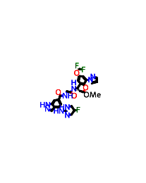 COC(=O)C[C@H](NC(=O)CNC(=O)c1cc(NC2=NCC(F)CN2)c2cn[nH]c2c1)c1cc(OC(F)F)cc(-n2cccn2)c1